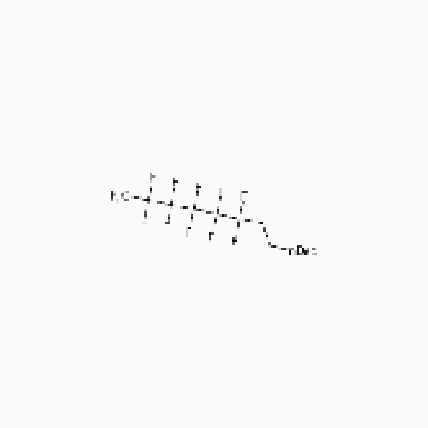 CCCCCCCCCCCCC(F)(F)C(F)(F)C(F)(F)C(F)(F)C(F)(F)C(F)(F)F